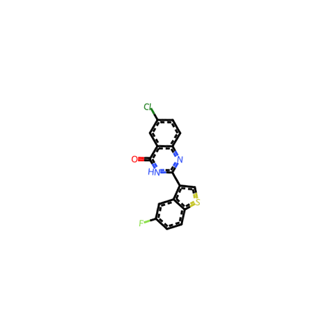 O=c1[nH]c(-c2csc3ccc(F)cc23)nc2ccc(Cl)cc12